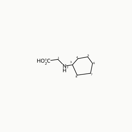 O=C(O)CNC1CCCCC1